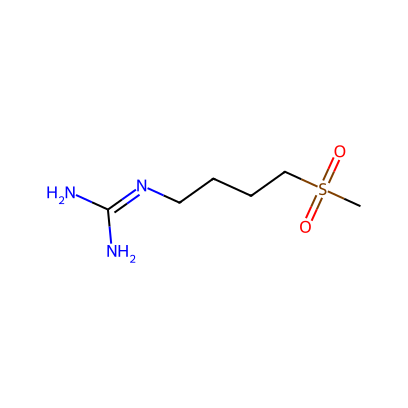 CS(=O)(=O)CCCCN=C(N)N